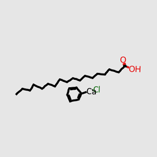 CCCCCCCCCCCCCCCCCC(=O)O.[Cl][Ca][c]1ccccc1